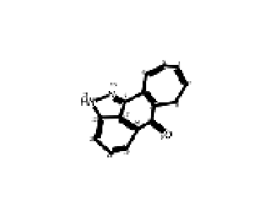 O=C1C2=C(C=CC=CC2)c2n[nH]c3cccc1c23